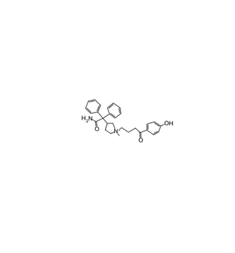 C[N+]1(CCCC(=O)c2ccc(O)cc2)CCC(C(C(N)=O)(c2ccccc2)c2ccccc2)C1